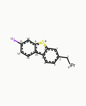 CC(C)Cc1ccc2c(c1)sc1cc(I)ccc12